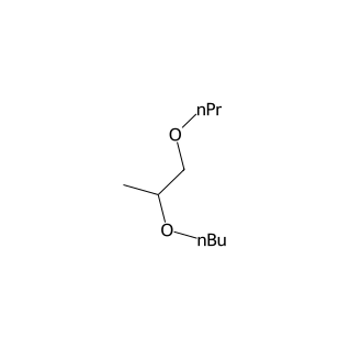 [CH2]CCCOC(C)COCCC